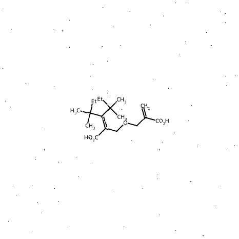 C=C(COCC(C(=O)O)=C(C(C)(C)CC)C(C)(C)CC)C(=O)O